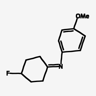 COc1ccc(N=C2CCC(F)CC2)cc1